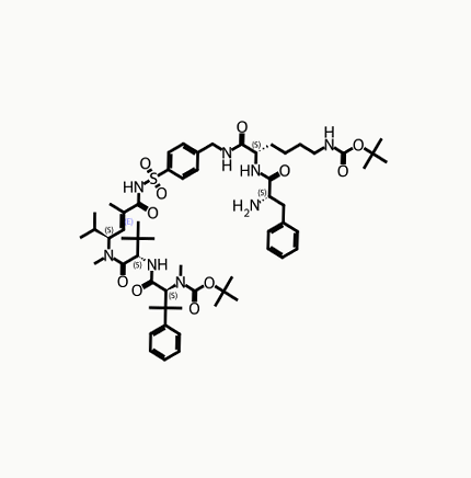 C/C(=C\[C@H](C(C)C)N(C)C(=O)[C@@H](NC(=O)[C@@H](N(C)C(=O)OC(C)(C)C)C(C)(C)c1ccccc1)C(C)(C)C)C(=O)NS(=O)(=O)c1ccc(CNC(=O)[C@H](CCCCNC(=O)OC(C)(C)C)NC(=O)[C@@H](N)Cc2ccccc2)cc1